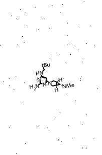 CN[C@@H]1[C@@H]2CN(c3cc(NCC(C)(C)C)nc(N)n3)C[C@@H]21